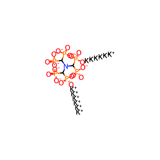 O=P([O-])([O-])C(N(C(P(=O)([O-])[O-])P(=O)([O-])[O-])C(P(=O)([O-])[O-])P(=O)([O-])[O-])P(=O)([O-])[O-].[K+].[K+].[K+].[K+].[K+].[K+].[K+].[K+].[K+].[K+].[K+].[K+]